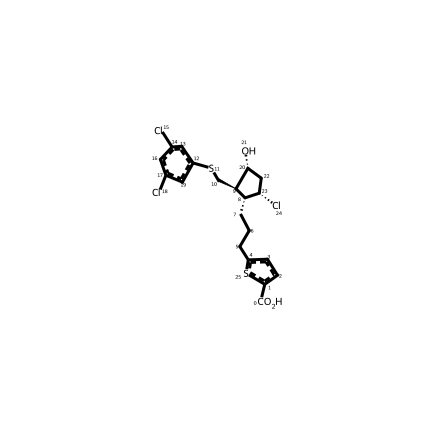 O=C(O)c1ccc(CCC[C@@H]2[C@@H](CSc3cc(Cl)cc(Cl)c3)[C@H](O)C[C@@H]2Cl)s1